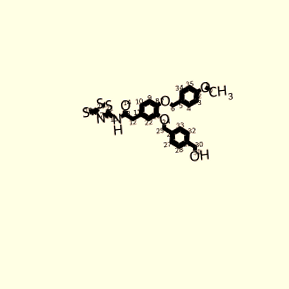 COc1ccc(COc2ccc(CC(=O)Nc3nc(=S)ss3)cc2OCc2ccc(CO)cc2)cc1